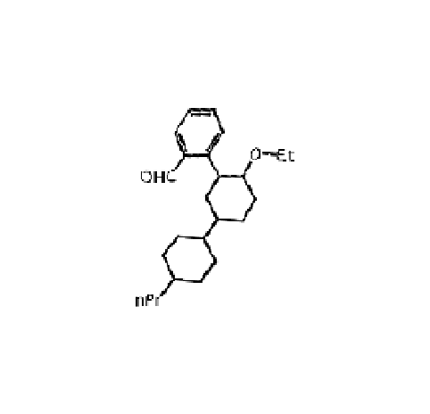 CCCC1CCC(C2CCC(OCC)C(c3ccccc3C=O)C2)CC1